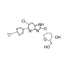 OC[C@H]1OC[C@H](Oc2nc3nc(-c4ccc(C5CC5)cc4)c(Cl)cc3[nH]2)C[C@@H]1O